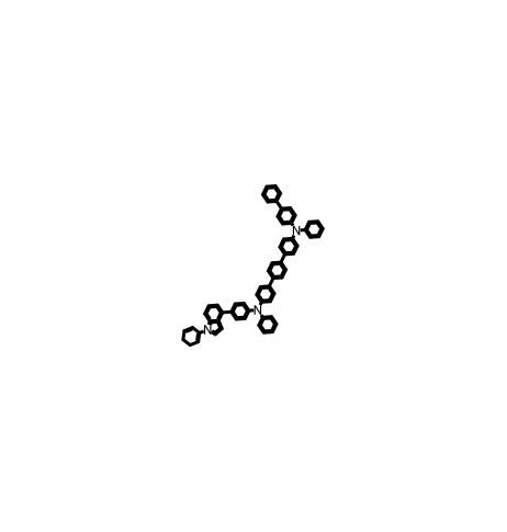 C1=CC(n2ccc3c(-c4ccc(N(c5ccccc5)c5ccc(-c6ccc(-c7ccc(N(c8ccccc8)c8ccc(-c9ccccc9)cc8)cc7)cc6)cc5)cc4)cccc32)=CCC1